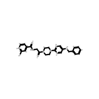 O=C(NCC(=O)N1CCN(c2ncc(OCc3ccccc3)cn2)CC1)c1ccnc(I)c1